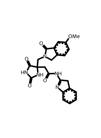 COc1ccc2c(c1)C(=O)N(CC1(CC(=O)NC3=Nc4ccccc4C3)NC(=O)NC1=O)C2